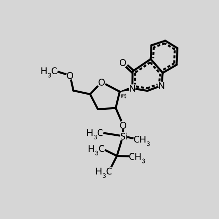 COCC1CC(O[Si](C)(C)C(C)(C)C)[C@H](n2cnc3ccccc3c2=O)O1